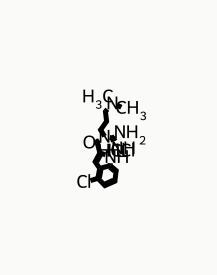 CN(C)CCCN(C(=N)N)C(=O)c1cc2c(Cl)cccc2[nH]1.Cl.Cl